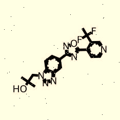 CC(C)(O)Cn1nnc2cc(-c3noc(-c4ccncc4C(C)(F)F)n3)ccc21